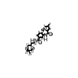 Cc1cc2n(c1)Sc1ccc(C(=O)NCCC3COC(C)(C)CO3)cc1NC2=O